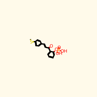 CSc1ccc(/C=C/C(=O)c2ccccc2OP(=O)(O)O)cc1